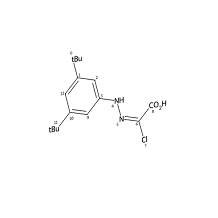 CC(C)(C)c1cc(N/N=C(/Cl)C(=O)O)cc(C(C)(C)C)c1